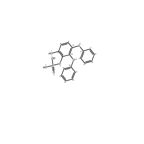 O=P(O)(O)Oc1c(O)ccc(Oc2ccccc2)c1Oc1ccccc1